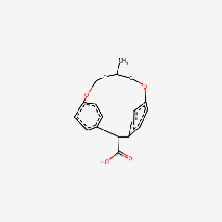 CC1CCOc2ccc(cc2)C(C(=O)O)c2ccc(cc2)OC1